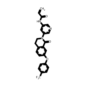 C=CC(=O)Nc1cncc(N2CCc3ccc(Oc4ccc(C(F)(F)F)cc4)cc3C2=O)c1